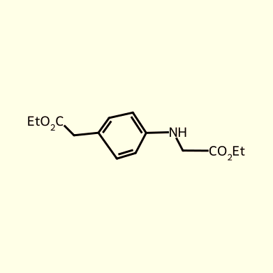 CCOC(=O)CNc1ccc(CC(=O)OCC)cc1